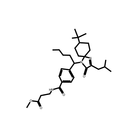 CCCCC(c1ccc(C(=O)NCCC(=O)OC)cc1)N1C(=O)C(CC(C)C)=NC12CCC(C(C)(C)C)CC2